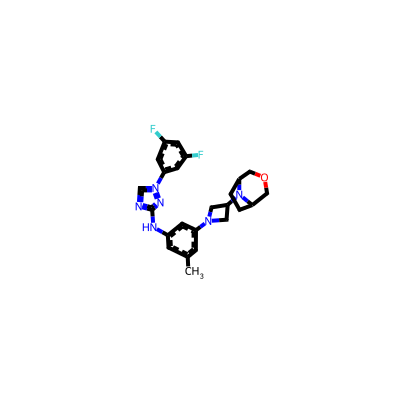 Cc1cc(Nc2ncn(-c3cc(F)cc(F)c3)n2)cc(N2CC(N3C4CCC3COC4)C2)c1